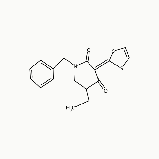 CCC1CN(Cc2ccccc2)C(=O)C(=C2SC=CS2)C1=O